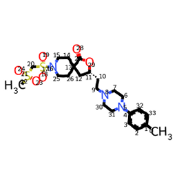 Cc1ccc(N2CCN(CC[C@@H]3CC4(CCN(S(=O)(=O)CS(C)(=O)=O)CC4)C(=O)O3)CC2)cc1